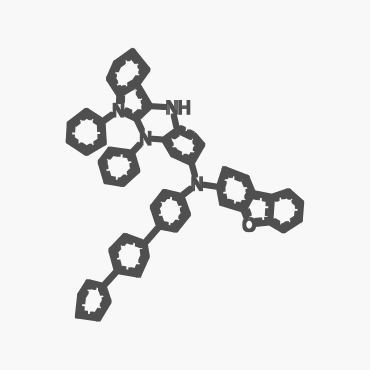 c1ccc(-c2ccc(-c3ccc(N(c4ccc5c(c4)N(c4ccccc4)c4c(c6ccccc6n4-c4ccccc4)N5)c4ccc5c(c4)oc4ccccc45)cc3)cc2)cc1